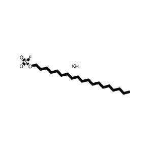 CCCCCCCCCCCCCCCCCCCOS(=O)(=O)F.[KH]